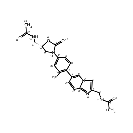 CC(=O)NCc1cn2cc(-c3ccc(N4C[C@H](CNC(C)=O)OC4=O)cc3F)ccc2n1